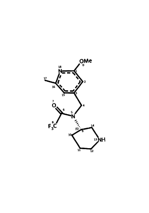 COc1cc(CN(C(=O)C(F)(F)F)[C@H]2CCCNC2)cc(C)n1